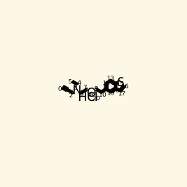 C#CCN(CC)CCOCCc1ccc2sccc2c1.Cl